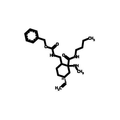 C=C[C@@H]1CCC(CNC(=O)OCc2ccccc2)C(NC)(C(=O)NCCCC)C1